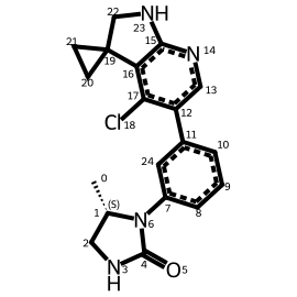 C[C@H]1CNC(=O)N1c1cccc(-c2cnc3c(c2Cl)C2(CC2)CN3)c1